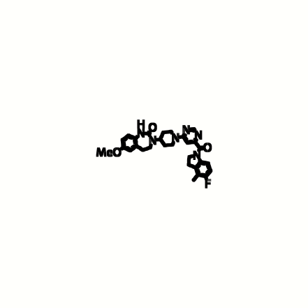 COc1ccc2c(c1)CCN(C1CCN(c3cc(C(=O)N4CCc5c4ccc(F)c5C)ncn3)CC1)C(=O)N2